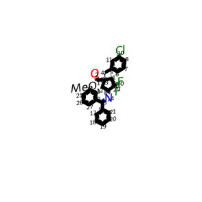 COC(=O)[C@]1(Cc2cccc(Cl)c2)C[C@@H](N=C(c2ccccc2)c2ccccc2)C(F)(F)C1